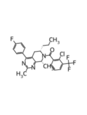 CCC[C@H]1Cc2c(-c3ccc(F)cc3)nc(C)nc2[C@@H](C)N1C(=O)c1cccc(C(F)(F)F)c1Cl